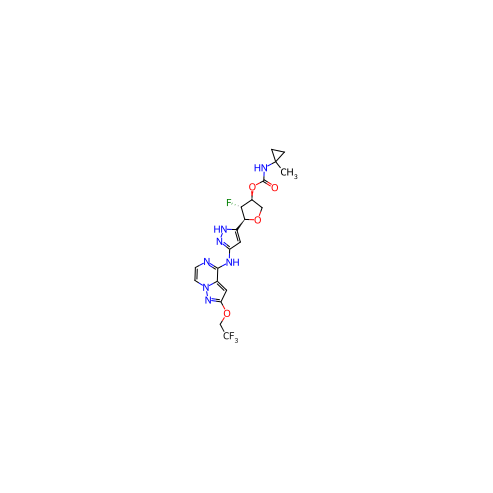 CC1(NC(=O)O[C@H]2CO[C@@H](c3cc(Nc4nccn5nc(OCC(F)(F)F)cc45)n[nH]3)[C@@H]2F)CC1